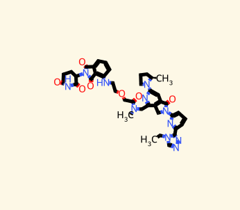 CCn1cnnc1-c1cccc(N2Cc3c(cc(N4CCC[C@H]4C)nc3CN(C)C(=O)COCCNc3cccc4c3C(=O)N(C3CCC(=O)NC3=O)C4=O)C2=O)n1